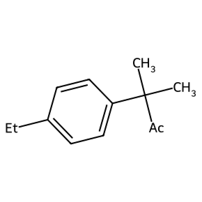 CCc1ccc(C(C)(C)C(C)=O)cc1